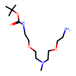 CN(CCOCCN)CCOCCNC(=O)OC(C)(C)C